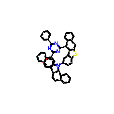 c1ccc(-c2nc(-c3ccccc3)nc(-c3c4ccccc4cc4sc5ccc(-n6c7cc8ccccc8cc7c7ccc8ccccc8c76)cc5c34)n2)cc1